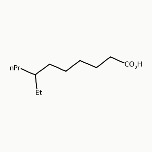 CCCC(CC)CCCCCC(=O)O